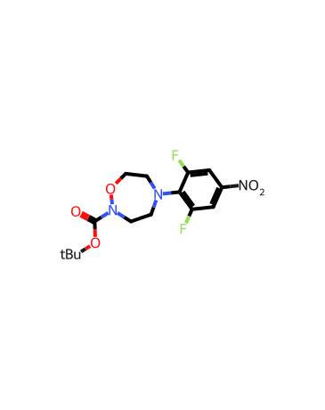 CC(C)(C)OC(=O)N1CCN(c2c(F)cc([N+](=O)[O-])cc2F)CCO1